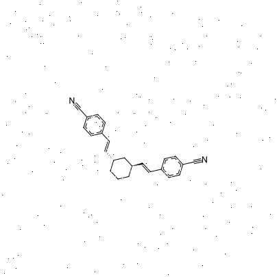 N#Cc1ccc(/C=C/[C@H]2CCC[C@H](/C=C/c3ccc(C#N)cc3)C2)cc1